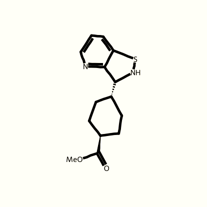 COC(=O)[C@H]1CC[C@H](C2NSc3cccnc32)CC1